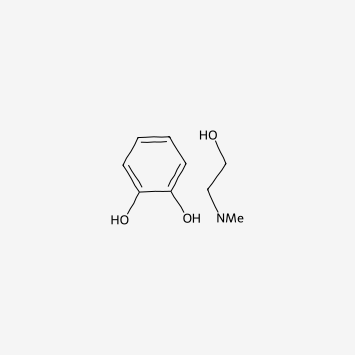 CNCCO.Oc1ccccc1O